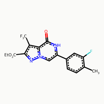 CCOC(=O)c1nn2cc(-c3ccc(C)c(F)c3)[nH]c(=O)c2c1C(F)(F)F